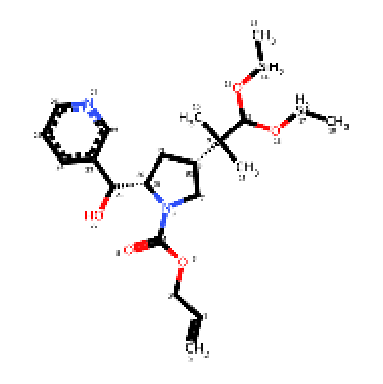 C=CCOC(=O)N1C[C@@H](C(C)(C)C(O[SiH2]C)O[SiH2]C)C[C@H]1C(O)c1cccnc1